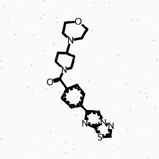 O=C(c1ccc(-c2cn3ncsc3n2)cc1)N1CCC(N2CCOCC2)CC1